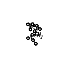 CC1(C)c2cc(N(c3ccccc3)c3ccc(-c4ccccc4)cc3)ccc2-c2ccc(-n3c4ccccc4c4ccc5c6ccc7c8ccccc8n(-c8ccccc8)c7c6oc5c43)cc21